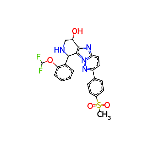 CS(=O)(=O)c1ccc(-c2ccc3nc4c(n3n2)C(c2ccccc2OC(F)F)NCC4O)cc1